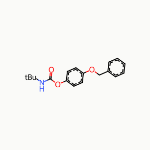 CC(C)(C)NC(=O)Oc1ccc(OCc2ccccc2)cc1